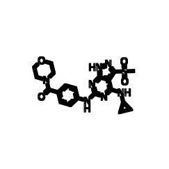 CS(=O)(=O)c1n[nH]c2nc(Nc3ccc(C(=O)N4CCOCC4)cc3)nc(NC3CC3)c12